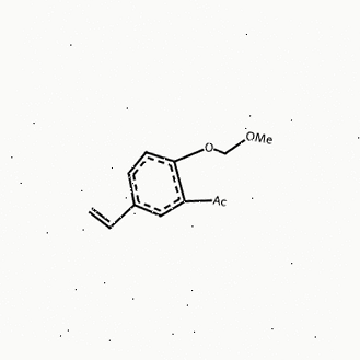 C=Cc1ccc(OCOC)c(C(C)=O)c1